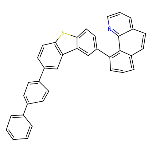 c1ccc(-c2ccc(-c3ccc4sc5ccc(-c6cccc7ccc8cccnc8c67)cc5c4c3)cc2)cc1